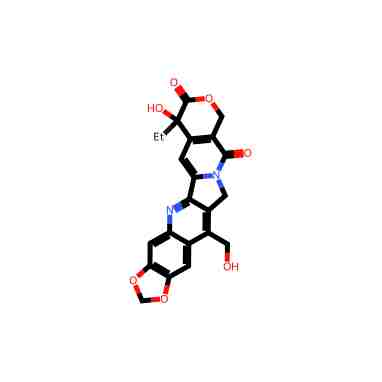 CCC1(O)C(=O)OCc2c1cc1n(c2=O)Cc2c-1nc1cc3c(cc1c2CO)OCO3